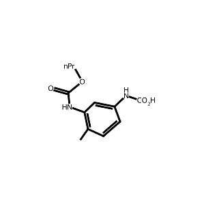 CCCOC(=O)Nc1cc(NC(=O)O)ccc1C